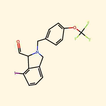 O=CC1c2c(I)cccc2CN1Cc1ccc(OC(F)(F)F)cc1